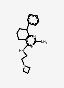 Nc1nc(NCCN2CCC2)c2c(n1)C(c1ccccc1)CCC2